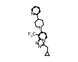 FC(F)(F)c1c(N2CCC(c3ccccn3)CC2)ccn2c(CC3CC3)nnc12